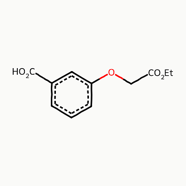 CCOC(=O)COc1cccc(C(=O)O)c1